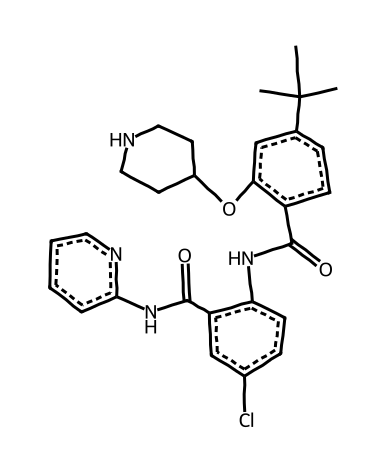 CC(C)(C)c1ccc(C(=O)Nc2ccc(Cl)cc2C(=O)Nc2ccccn2)c(OC2CCNCC2)c1